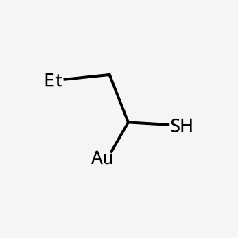 CCC[CH](S)[Au]